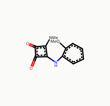 CNc1c(Nc2ccccc2OC)c(=O)c1=O